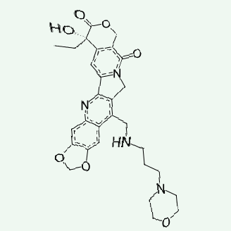 CC[C@@]1(O)C(=O)OCc2c1cc1n(c2=O)Cc2c-1nc1cc3c(cc1c2CNCCCN1CCOCC1)OCO3